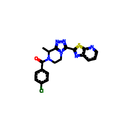 CC1c2nnc(-c3nc4cccnc4s3)n2CCN1C(=O)c1ccc(Cl)cc1